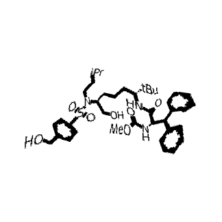 COC(=O)N[C@H](C(=O)N[C@H](CCC[C@@H](CO)N(CCC(C)C)S(=O)(=O)c1ccc(CO)cc1)C(C)(C)C)C(c1ccccc1)c1ccccc1